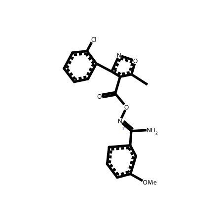 COc1cccc(/C(N)=N/OC(=O)c2c(-c3ccccc3Cl)noc2C)c1